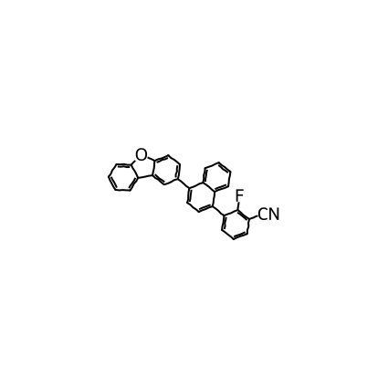 N#Cc1cccc(-c2ccc(-c3ccc4oc5ccccc5c4c3)c3ccccc23)c1F